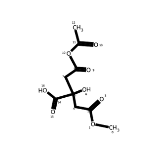 COC(=O)CC(O)(CC(=O)OC(C)=O)C(=O)O